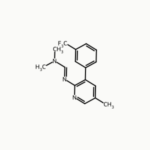 Cc1cnc(N=CN(C)C)c(-c2cccc(C(F)(F)F)c2)c1